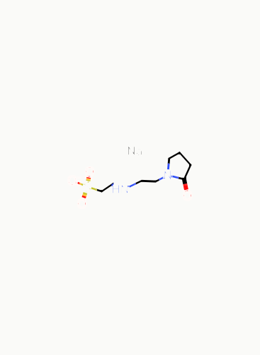 O=C1CCCN1CCNCCS(=O)(=O)[O-].[Na+]